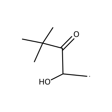 [CH2]C(O)C(=O)C(C)(C)C